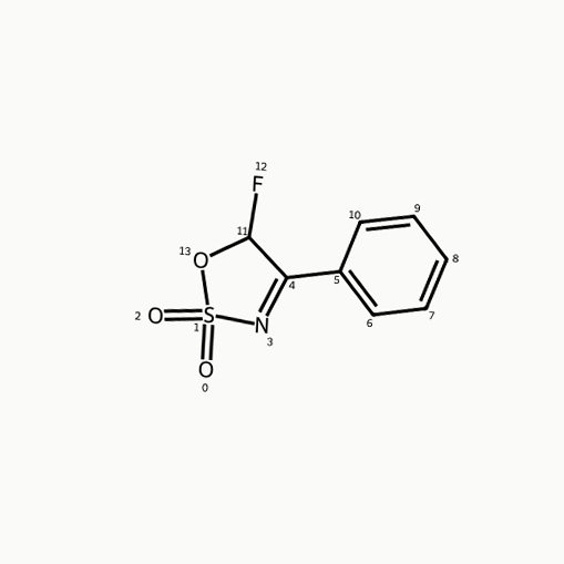 O=S1(=O)N=C(c2ccccc2)C(F)O1